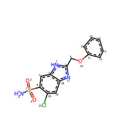 NS(=O)(=O)c1cc2[nH]c(COc3ccccc3)nc2cc1Cl